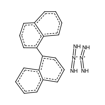 N=[N+]=N.N=[N+]=N.c1ccc2c(-c3cccc4ccccc34)cccc2c1